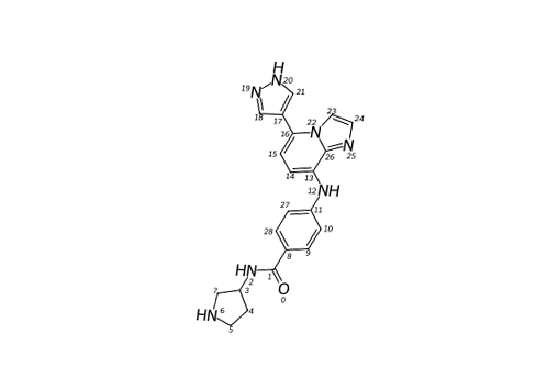 O=C(NC1CCNC1)c1ccc(Nc2ccc(-c3cn[nH]c3)n3ccnc23)cc1